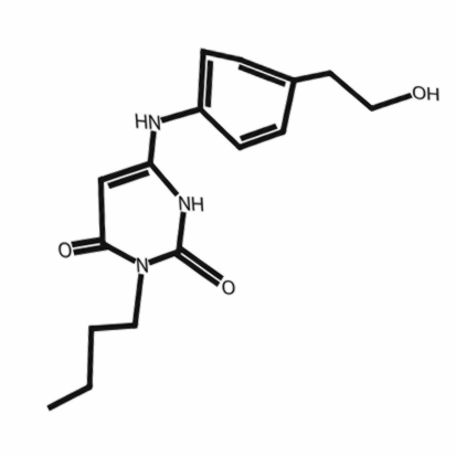 CCCCn1c(=O)cc(Nc2ccc(CCO)cc2)[nH]c1=O